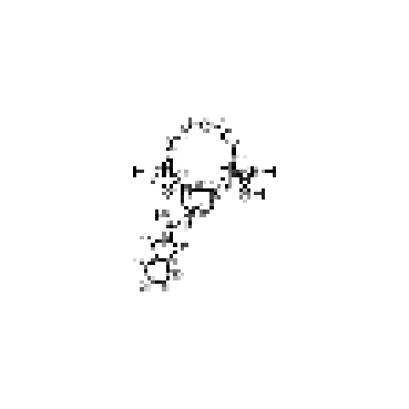 CN1CCCCCCCCC[C@@H](B(O)O)NC(=O)C2C[C@@H](OC(=O)N3Cc4ccccc4C3)CN2C1=O